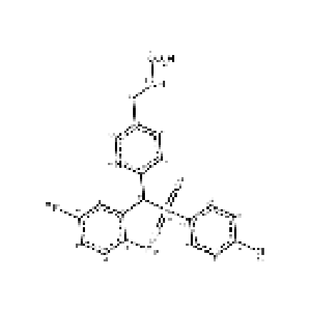 O=C(O)NCc1ccc(C(c2cc(F)ccc2F)S(=O)(=O)c2ccc(Cl)cc2)nc1